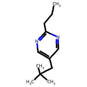 CCCc1ncc(CC(C)(C)C)cn1